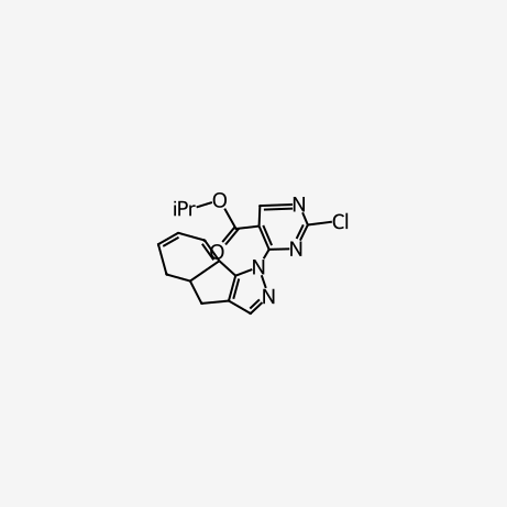 CC(C)OC(=O)c1cnc(Cl)nc1-n1ncc2c1C1=CC=CCC1C2